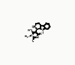 Cn1c(O)c(C2NCCc3c2[nH]c2ccccc32)c(=O)[nH]c1=O